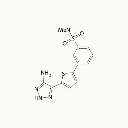 CNS(=O)(=O)c1cccc(-c2ccc(-c3n[nH]nc3N)s2)c1